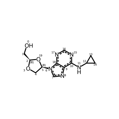 OC[C@@H]1OC[C@H](n2cnc3c(NC4CC4)ncnc32)O1